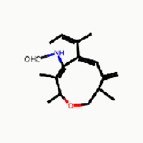 C=C1/C=C(C(/C)=C\C)\C(NC=O)=C(\C)C(C)OCC1C